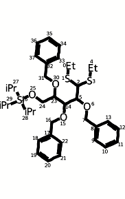 CCSC(SCC)C(OCc1ccccc1)C(OCc1ccccc1)C(CO[Si](C(C)C)(C(C)C)C(C)C)OCc1ccccc1